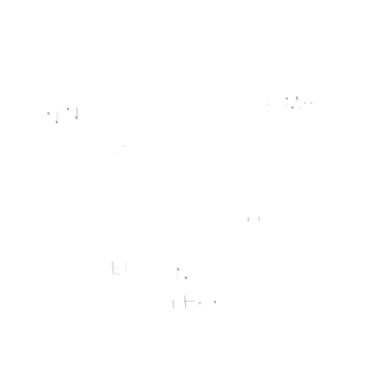 CCCCCCN(CCOc1ccc(OC)cc1)C(CC)CCCOc1ccccc1[N+]#N